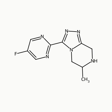 CC1Cn2c(nnc2-c2ncc(F)cn2)CN1